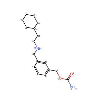 NC(=O)OCc1cccc(CNCCC2CCCCC2)c1